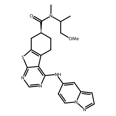 COCC(C)N(C)C(=O)[C@H]1CCc2c(sc3ncnc(Nc4ccn5nccc5c4)c23)C1